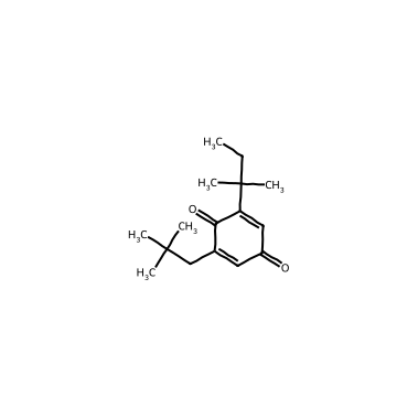 CCC(C)(C)C1=CC(=O)C=C(CC(C)(C)C)C1=O